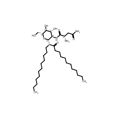 CCCCCCCCCCCCN(C(=O)CCCCCCCCCCC)[C@@H]1O[C@H](CO)[C@@H](O)[C@H](O)[C@H]1NC(=O)[C@@H](N)CC(N)=O